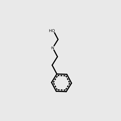 OC[N]CCc1ccccc1